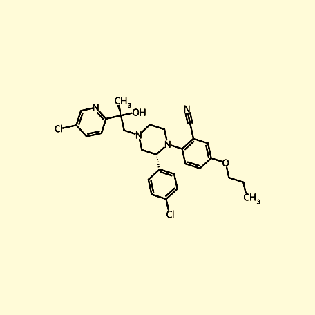 CCCOc1ccc(N2CCN(C[C@@](C)(O)c3ccc(Cl)cn3)C[C@H]2c2ccc(Cl)cc2)c(C#N)c1